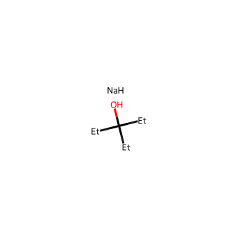 CCC(O)(CC)CC.[NaH]